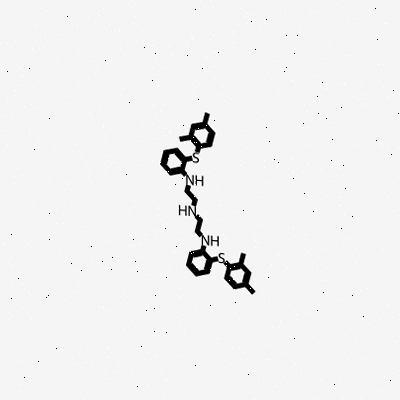 Cc1ccc(Sc2ccccc2NCCNCCNc2ccccc2Sc2ccc(C)cc2C)c(C)c1